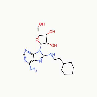 Nc1ncnc2c1nc(NCCC1CCCCC1)n2[C@@H]1O[C@H](CO)C(O)C1O